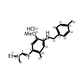 CCN(C)/C=N/c1cc(OC)c(NCc2ccc(C)cc2)cc1C.Cl